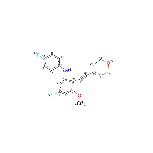 COc1cc(F)cc(Nc2ccc(F)cc2)c1C#CC1CCOCC1